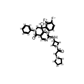 CC1(c2cccc(F)c2F)CN(c2ccccc2)C(=O)c2cnc(NC3CN(C(=O)CN4CCCC4)C3)nc21